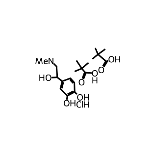 CC(C)(C)C(=O)O.CC(C)(C)C(=O)O.CNCC(O)c1ccc(O)c(O)c1.Cl